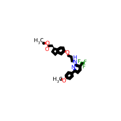 CCOC(=O)C[C@@H]1CCc2cc(OCCCNc3nc(-c4ccc(OC)cc4)ccc3C(F)(F)F)ccc21